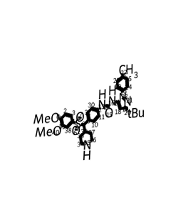 COc1ccc(S(=O)(=O)C(c2ccc(NC(=O)Nc3cc(C(C)(C)C)nn3-c3ccc(C)cc3)cc2)C2CCNCC2)cc1OC